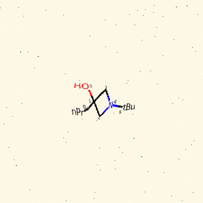 CCCC1(O)CN(C(C)(C)C)C1